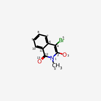 Cn1c([O])c(Br)c2ccccc2c1=O